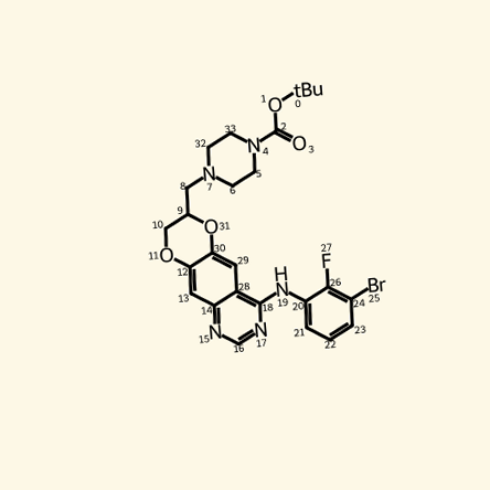 CC(C)(C)OC(=O)N1CCN(CC2COc3cc4ncnc(Nc5cccc(Br)c5F)c4cc3O2)CC1